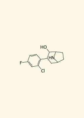 OC1C2CCC(CC1c1ccc(F)cc1Cl)N2